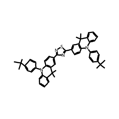 CC(C)(C)c1ccc(N2c3ccccc3C(C)(C)c3cc(-c4nsc(-c5ccc6c(c5)C(C)(C)c5ccccc5N6c5ccc(C(C)(C)C)cc5)n4)ccc32)cc1